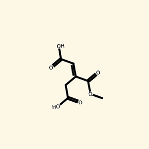 COC(=O)/C(=C/C(=O)O)CC(=O)O